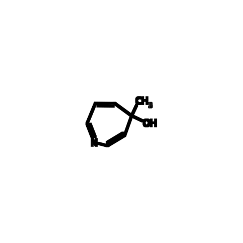 CC1(O)C=CC=NC=C1